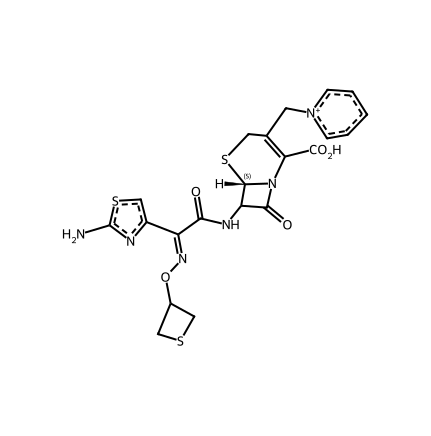 Nc1nc(C(=NOC2CSC2)C(=O)NC2C(=O)N3C(C(=O)O)=C(C[n+]4ccccc4)CS[C@@H]23)cs1